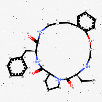 CC(C)C[C@@H]1NCCOc2ccccc2CCCNC(=O)[C@H](Cc2ccccc2)NC(=O)C2CCCN2C1=O